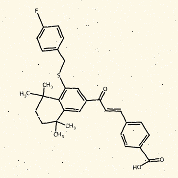 CC1(C)CCC(C)(C)c2c(SCc3ccc(F)cc3)cc(C(=O)C=Cc3ccc(C(=O)O)cc3)cc21